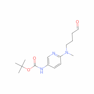 CN(CCCC=O)c1ccc(NC(=O)OC(C)(C)C)cn1